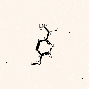 COc1ccc([C@@H](C)N)nn1